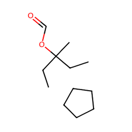 C1CCCC1.CCC(C)(CC)OC=O